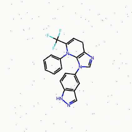 FC(F)(F)C1=CCc2ncn(-c3ccc4[nH]ncc4c3)c2N1c1ccccc1